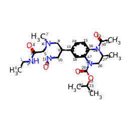 CCNC(=O)CN(C)CC(CN=O)c1ccc2c(c1)N(C(=O)OC(C)C)C[C@H](C)N2C(C)=O